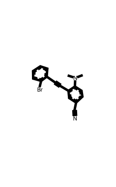 CN(C)c1ccc(C#N)cc1C#Cc1ccccc1Br